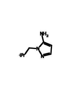 C[C](C)Cn1nccc1N